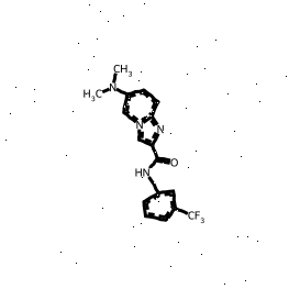 CN(C)c1ccc2nc(C(=O)Nc3cccc(C(F)(F)F)c3)cn2c1